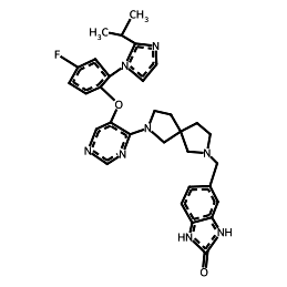 CC(C)c1nccn1-c1cc(F)ccc1Oc1cncnc1N1CCC2(CCN(Cc3ccc4[nH]c(=O)[nH]c4c3)C2)C1